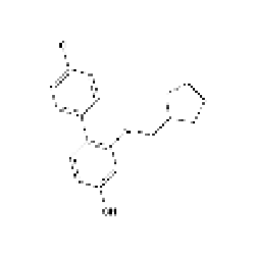 Oc1ccc(-c2ccc(Cl)cc2)c(OCC2CCCC2)c1